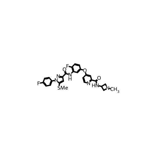 CSc1cc(C(=O)Nc2cc(Oc3ccnc(C(=O)NC4CN(C)C4)c3)ccc2F)nn1-c1ccc(F)cc1